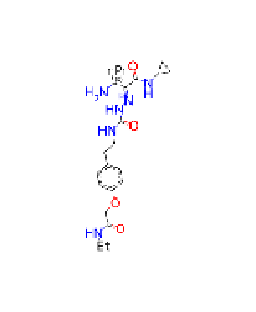 CCC[C@H](N)/C(=N\NC(=O)NCCc1ccc(OCC(=O)NCC)cc1)C(=O)NC1CC1